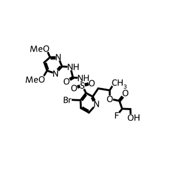 COc1cc(OC)nc(NC(=O)NS(=O)(=O)c2c(Br)ccnc2CC(C)OC(=O)C(F)CO)n1